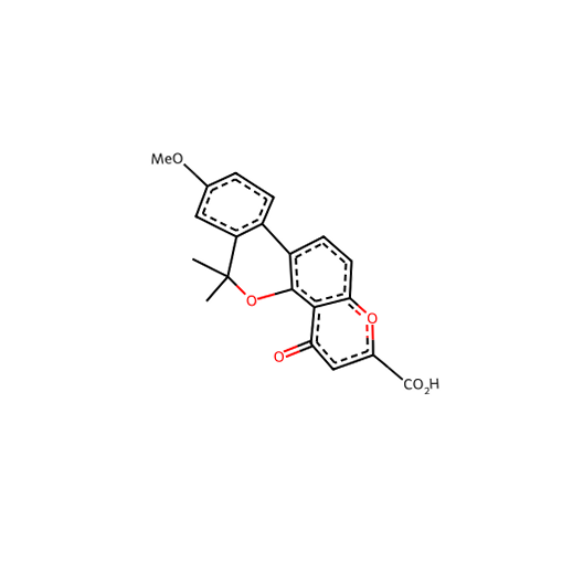 COc1ccc2c(c1)C(C)(C)Oc1c-2ccc2oc(C(=O)O)cc(=O)c12